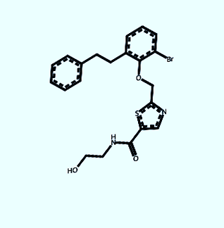 O=C(NCCO)c1cnc(COc2c(Br)cccc2CCc2ccccc2)s1